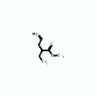 C=CCC(CC)C(=O)OC